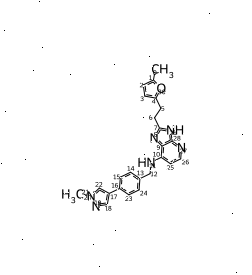 Cc1ccc(CCc2nc3c(NCc4ccc(-c5cnn(C)c5)cc4)ccnc3[nH]2)o1